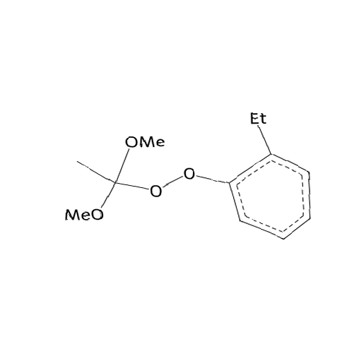 CCc1ccccc1OOC(C)(OC)OC